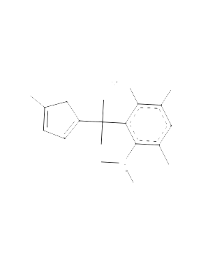 COc1c(C(C)(C)C)cc(C)c([SiH](C)C)c1C(C)(C)C1=CC=C(C(C)(C)C)C1